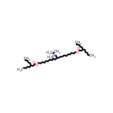 CCCCCC(CCCCC)CC(=O)OCCCCCCCCCCC(CCCCCCCCCCOC(=O)CC(CCCCC)CCCCC)CN(C)C(C)C